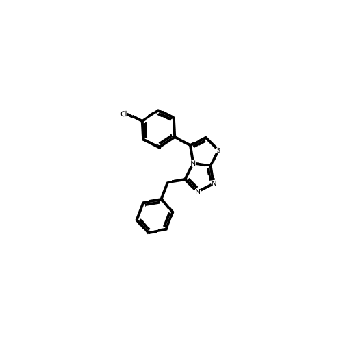 Clc1ccc(-c2csc3nnc(Cc4ccccc4)n23)cc1